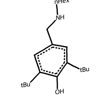 CCCCCCNCc1cc(C(C)(C)C)c(O)c(C(C)(C)C)c1